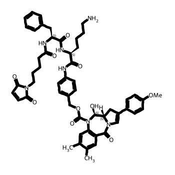 COc1ccc(C2=CN3C(=O)c4cc(C)c(C)cc4N(C(=O)OCc4ccc(NC(=O)[C@H](CCCCN)NC(=O)[C@H](Cc5ccccc5)NC(=O)CCCCN5C(=O)C=CC5=O)cc4)[C@@H](O)[C@@H]3C2)cc1